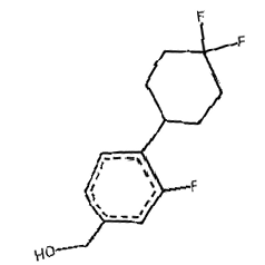 OCc1ccc(C2CCC(F)(F)CC2)c(F)c1